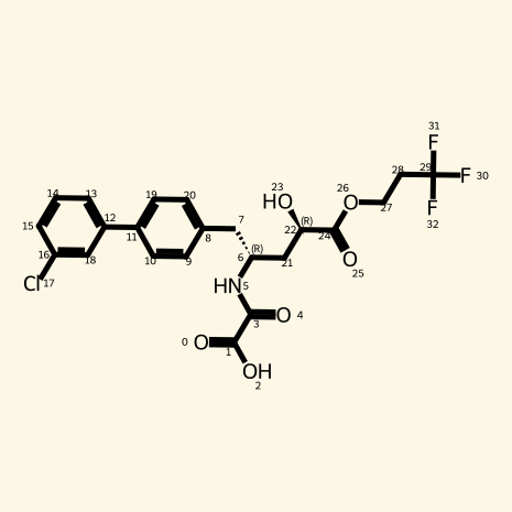 O=C(O)C(=O)N[C@H](Cc1ccc(-c2cccc(Cl)c2)cc1)C[C@@H](O)C(=O)OCCC(F)(F)F